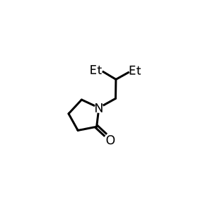 CCC(CC)CN1CCCC1=O